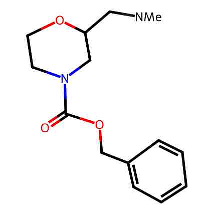 CNCC1CN(C(=O)OCc2ccccc2)CCO1